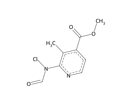 COC(=O)c1ccnc(N(Cl)C=O)c1C